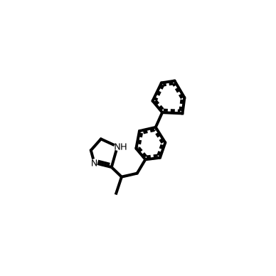 CC(Cc1ccc(-c2ccccc2)cc1)C1=NCCN1